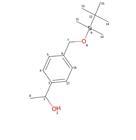 CC(O)c1ccc(CO[Si](C)(C)C(C)(C)C)cc1